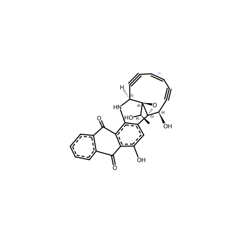 C[C@@H](O)[C@@]12O[C@]13c1cc(O)c4c(c1N[C@H]2C#C/C=C\C#C[C@H]3O)C(=O)c1ccccc1C4=O